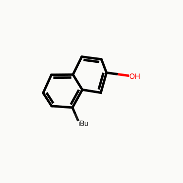 CCC(C)c1cccc2ccc(O)cc12